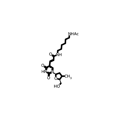 CC(=O)NCCCCCCNC(=O)/C=C/c1cn([C@H]2CC(C)[C@@H](CO)O2)c(=O)[nH]c1=O